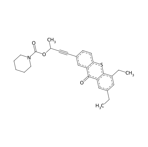 CCc1cc(CC)c2sc3ccc(C#CC(C)OC(=O)N4CCCCC4)cc3c(=O)c2c1